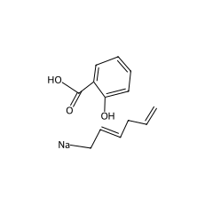 C=CCC=C[CH2][Na].O=C(O)c1ccccc1O